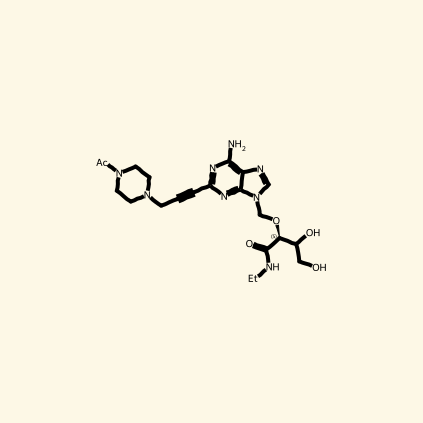 CCNC(=O)[C@@H](OCn1cnc2c(N)nc(C#CCN3CCN(C(C)=O)CC3)nc21)C(O)CO